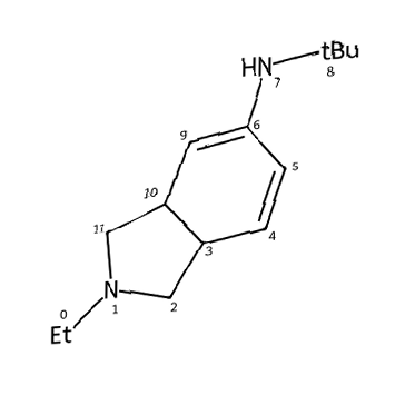 CCN1CC2C=CC(NC(C)(C)C)=CC2C1